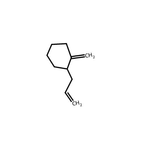 C=CCC1CCCCC1=C